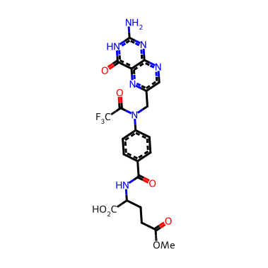 COC(=O)CCC(NC(=O)c1ccc(N(Cc2cnc3nc(N)[nH]c(=O)c3n2)C(=O)C(F)(F)F)cc1)C(=O)O